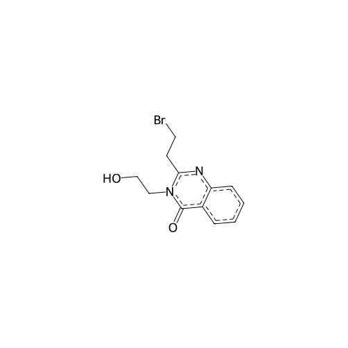 O=c1c2ccccc2nc(CCBr)n1CCO